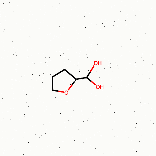 O[C](O)C1CCCO1